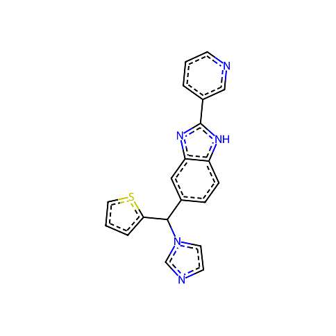 c1cncc(-c2nc3cc(C(c4cccs4)n4ccnc4)ccc3[nH]2)c1